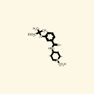 CCOC(=O)C(C)(C)Oc1cccc(C(=O)NC2CCN(C(=O)O)CC2)c1